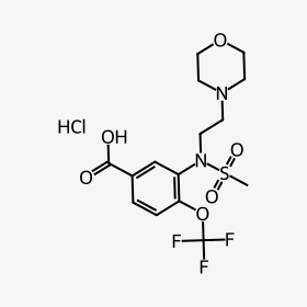 CS(=O)(=O)N(CCN1CCOCC1)c1cc(C(=O)O)ccc1OC(F)(F)F.Cl